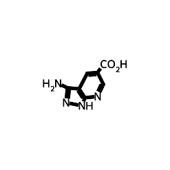 Nc1n[nH]c2ncc(C(=O)O)cc12